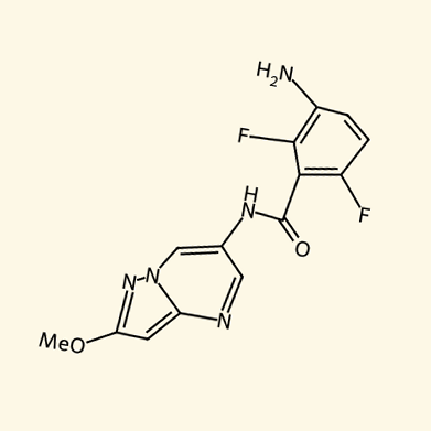 COc1cc2ncc(NC(=O)c3c(F)ccc(N)c3F)cn2n1